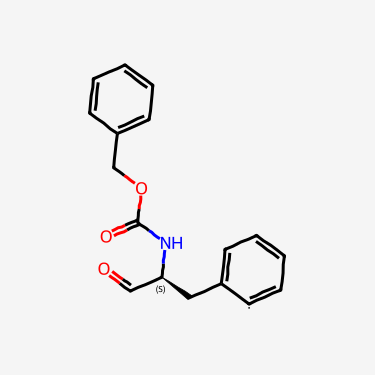 O=C[C@H](Cc1[c]cccc1)NC(=O)OCc1ccccc1